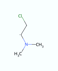 CN(C)[CH]CCl